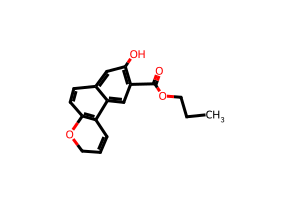 CCCOC(=O)c1cc2c3c(ccc2cc1O)OCC=C3